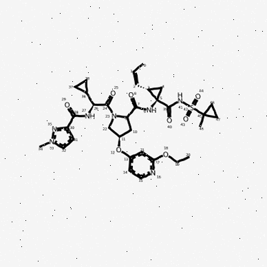 C/C=C\[C@@H]1C[C@]1(NC(=O)C1C[C@@H](Oc2ccnc(OCC)c2)CN1C(=O)[C@@H](NC(=O)c1ccn(C)n1)C1CC1)C(=O)NS(=O)(=O)C1(C)CC1